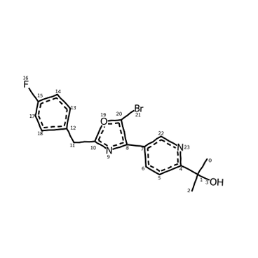 CC(C)(O)c1ccc(-c2nc(Cc3ccc(F)cc3)oc2Br)cn1